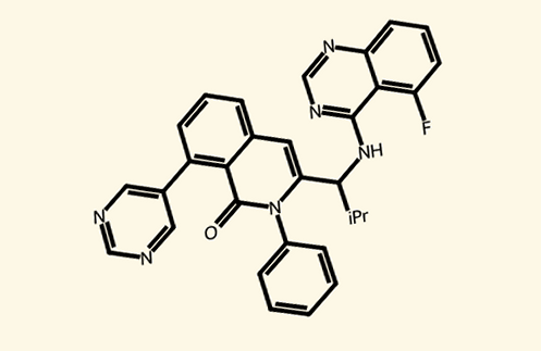 CC(C)C(Nc1ncnc2cccc(F)c12)c1cc2cccc(-c3cncnc3)c2c(=O)n1-c1ccccc1